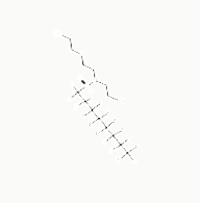 CCCN(CCOCCO)S(=O)(=O)C(F)(F)C(F)(F)C(F)(F)C(F)(F)C(F)(F)C(F)(F)C(F)(F)C(F)(F)F